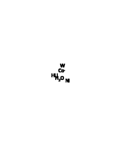 O.[Co].[LiH].[Ni].[W]